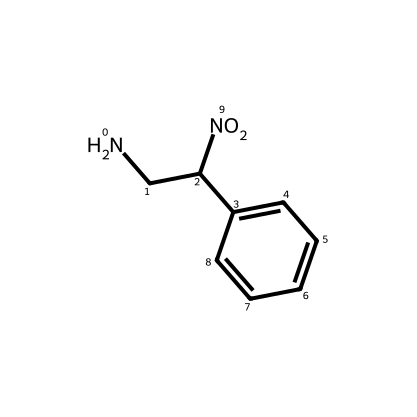 NCC(c1ccccc1)[N+](=O)[O-]